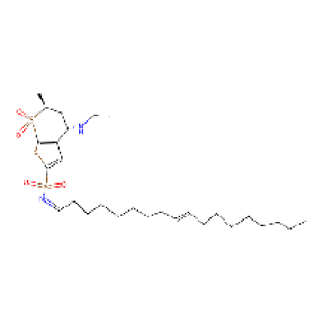 CCCCCCCC/C=C/CCCCCCC/C=N\S(=O)(=O)c1cc2c(s1)S(=O)(=O)[C@@H](C)C[C@@H]2NCC